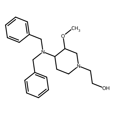 COC1CN(CCO)CCC1N(Cc1ccccc1)Cc1ccccc1